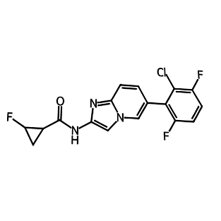 O=C(Nc1cn2cc(-c3c(F)ccc(F)c3Cl)ccc2n1)C1CC1F